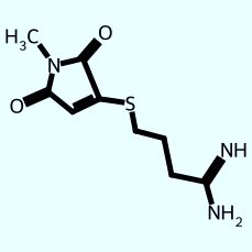 CN1C(=O)C=C(SCCCC(=N)N)C1=O